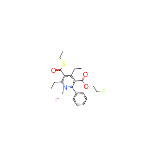 CCSC(=O)c1c(CC)c(C(=O)OCCF)c(-c2ccccc2)[n+](C)c1CC.[I-]